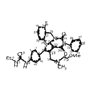 CCNC(=O)Nc1ccc(-c2sc3c(c2CN(C)CCOC)c(=O)n(-c2ccccc2)c(=O)n3Cc2c(F)cccc2F)cc1